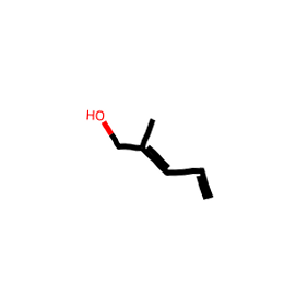 C=C/C=C(\C)CO